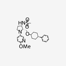 COc1ccc(N2CC[C@H](NS(C)(=O)=O)[C@@H]2CO[C@H]2CC[C@@H](c3ccccc3)CC2)cn1